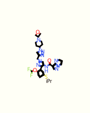 CC(C)Sc1ccc(OC(F)F)c(-c2nn(Cc3cn(C4CCN(C5COC5)CC4)nn3)cc2NC(=O)c2cnn3cccnc23)c1